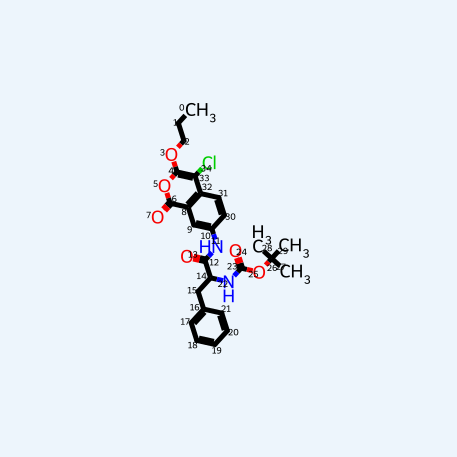 CCCOc1oc(=O)c2cc(NC(=O)C(Cc3ccccc3)NC(=O)OC(C)(C)C)ccc2c1Cl